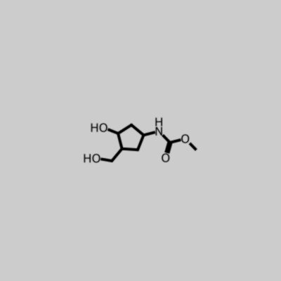 COC(=O)NC1CC(O)C(CO)C1